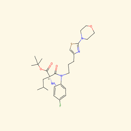 CC(C)C[C@@](N)(C(=O)OC(C)(C)C)C(=O)N(CCCc1csc(N2CCOCC2)n1)c1ccc(F)cc1